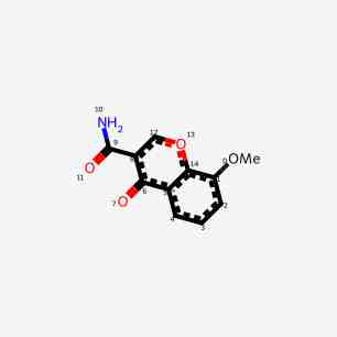 COc1cccc2c(=O)c(C(N)=O)coc12